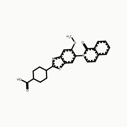 COc1cc2nc(C3CCC(C(=O)O)CC3)sc2cc1-n1ccc2ccccc2c1=O